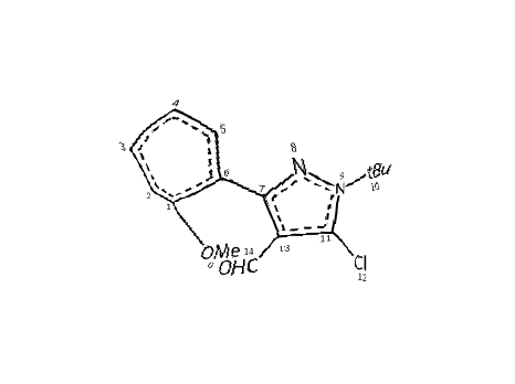 COc1ccccc1-c1nn(C(C)(C)C)c(Cl)c1C=O